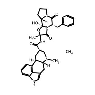 C.CN1C[C@H](C(=O)N[C@]2(C)O[C@@]3(O)[C@@H]4CCCN4C(=O)[C@H](Cc4ccccc4)N3C2=O)C[C@@H]2c3cccc4[nH]cc(c34)C[C@H]21